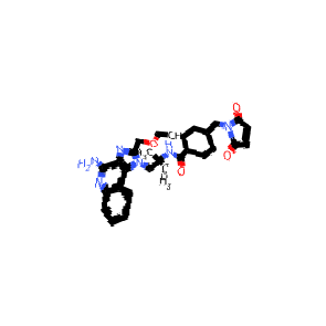 CCOCc1nc2c(N)nc3ccccc3c2n1CC(C)(C)NC(=O)C1CCC(CN2C(=O)C=CC2=O)CC1